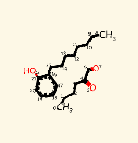 CCCCC(=O)C=O.CCCCCCCCc1ccccc1O